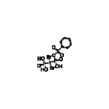 O=P(O)(O)C(Br)(Br)P(=O)(O)OS(=O)(=O)c1ccccc1